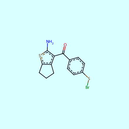 Nc1sc2c(c1C(=O)c1ccc(SBr)cc1)CCC2